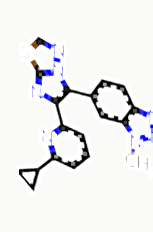 Cn1nnc2ccc(-c3c(-c4cccc(C5CC5)n4)nc4scnn34)cc21